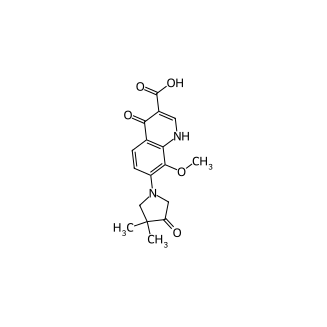 COc1c(N2CC(=O)C(C)(C)C2)ccc2c(=O)c(C(=O)O)c[nH]c12